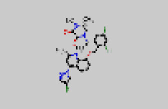 Cc1cc(-n2cc(F)cn2)c2cccc(OCc3c(Cl)cc(F)cc3C(C)N3C[C@@H](C)N(C)C(=O)C3=O)c2n1